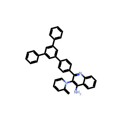 C=C1C=CC=CN1c1c(-c2ccc(-c3cc(-c4ccccc4)cc(-c4ccccc4)c3)cc2)nc2ccccc2c1N